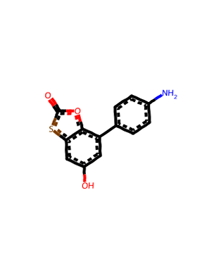 Nc1ccc(-c2cc(O)cc3sc(=O)oc23)cc1